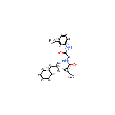 CCC1C(C(=O)NCC(=O)Nc2cccc(C(F)(F)F)c2)[C@H]1C/C(C)=C\C1CCCCC1